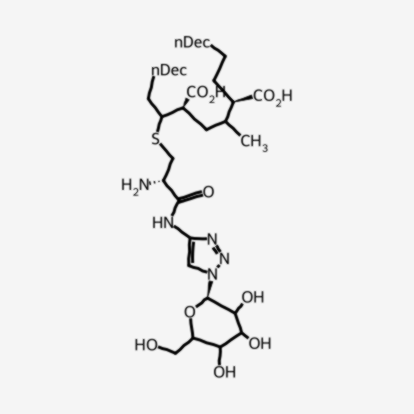 CCCCCCCCCCCC[C@@H](C(=O)O)C(C)C[C@H](C(=O)O)C(CCCCCCCCCCC)SC[C@@H](N)C(=O)Nc1cn([C@@H]2OC(CO)C(O)C(O)C2O)nn1